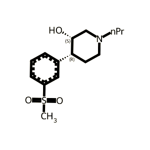 CCCN1CC[C@H](c2cccc(S(C)(=O)=O)c2)[C@H](O)C1